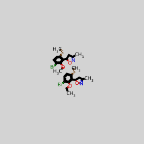 CCOc1c(Br)ccc(SC)c1C1CC(C)=NO1.COc1c(Br)ccc(SC)c1C1CC(C)=NO1